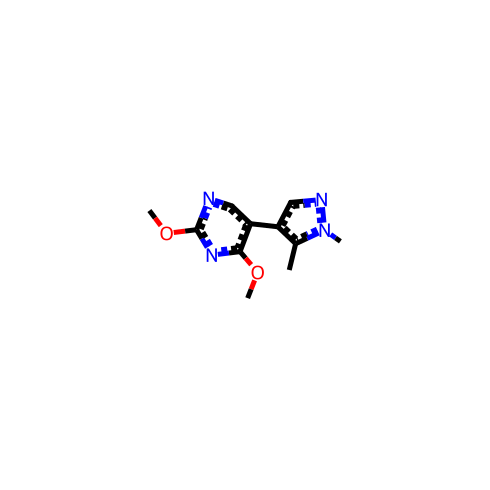 COc1ncc(-c2cnn(C)c2C)c(OC)n1